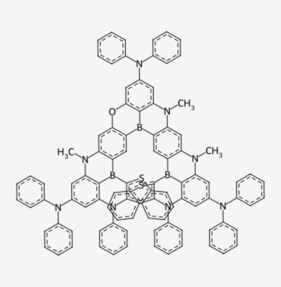 CN1c2cc3c(cc2B2c4cc5c(cc4Oc4cc(N(c6ccccc6)c6ccccc6)cc1c42)N(C)c1cc(N(c2ccccc2)c2ccccc2)cc2c1B5c1sc4ccccc4c1N2c1ccccc1)B1c2sc4ccccc4c2N(c2ccccc2)c2cc(N(c4ccccc4)c4ccccc4)cc(c21)N3C